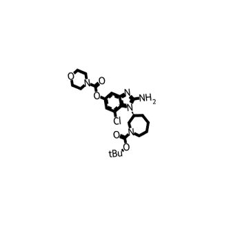 CC(C)(C)OC(=O)N1CCCC[C@@H](n2c(N)nc3cc(OC(=O)N4CCOCC4)cc(Cl)c32)C1